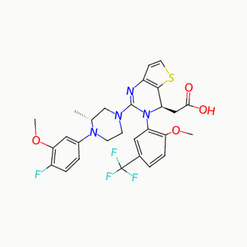 COc1cc(N2CCN(C3=Nc4ccsc4[C@@H](CC(=O)O)N3c3cc(C(F)(F)F)ccc3OC)C[C@H]2C)ccc1F